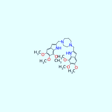 COc1cc2cc(CN3CCCN(Cc4cc5cc(OC)c(OC)c(OC)c5[nH]4)CC3)[nH]c2c(OC)c1OC